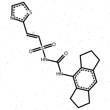 O=C(Nc1c2c(cc3c1CCC3)CCC2)NS(=O)(=O)/C=C/c1nccs1